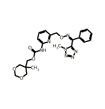 Cn1nnnc1/C(=N\OCc1cccc(NC(=O)OCC2(C)COCOC2)n1)c1ccccc1